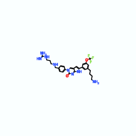 N=C(N)NCCCNCc1ccc(-n2cc3cc(-c4cc(CCCCN)cc(OC(F)(F)F)c4)[nH]c3nc2=O)cc1